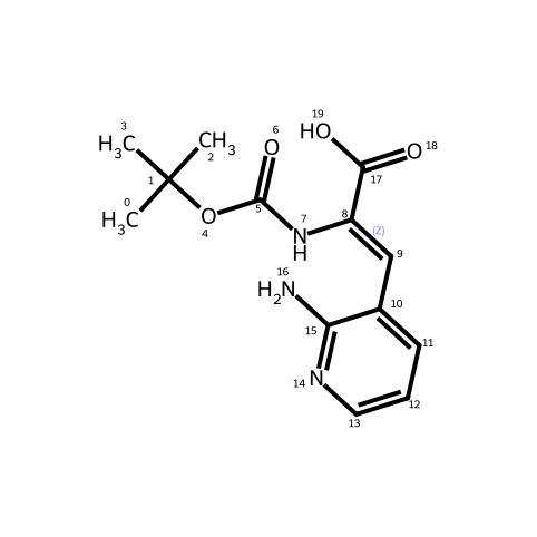 CC(C)(C)OC(=O)N/C(=C\c1cccnc1N)C(=O)O